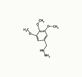 COc1cc(CNN)cc(OC)c1OC